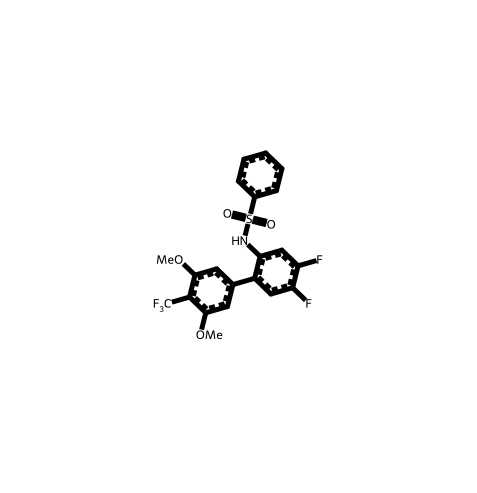 COc1cc(-c2cc(F)c(F)cc2NS(=O)(=O)c2ccccc2)cc(OC)c1C(F)(F)F